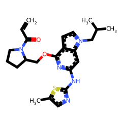 C=CC(=O)N1CCCC1COc1nc(Nc2ncc(C)s2)cc2c1ccn2CC(C)C